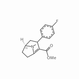 COC(=O)C1=C2CC[C@@H](CC1c1ccc(F)cc1)N2C